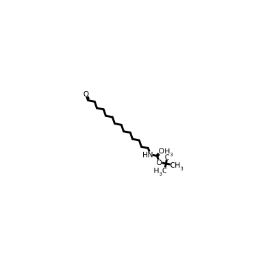 CC(C)(C)OC(=O)NCCCCCCCCCCCCCC=O